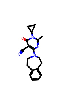 Cc1nc(N2CCc3ccccc3CC2)c(C#N)c(=O)n1C1CC1